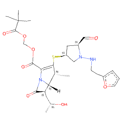 C[C@@H](O)[C@H]1C(=O)N2C(C(=O)OCOC(=O)C(C)(C)C)=C(S[C@H]3C[C@@H](C=O)N(NCc4ccco4)C3)[C@H](C)[C@H]12